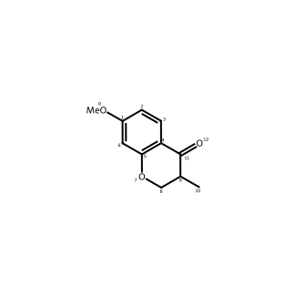 COc1ccc2c(c1)OCC(C)C2=O